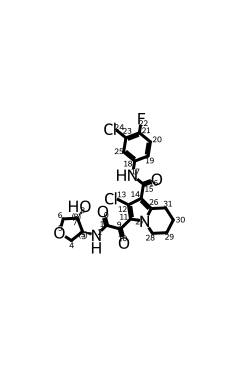 O=C(N[C@H]1COC[C@@H]1O)C(=O)c1c(Cl)c(C(=O)Nc2ccc(F)c(Cl)c2)c2n1CCCC2